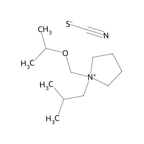 CC(C)C[N+]1(COC(C)C)CCCC1.N#C[S-]